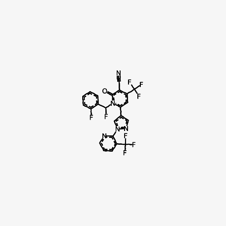 N#Cc1c(C(F)(F)F)cc(-c2cnn(-c3ncccc3C(F)(F)F)c2)n(C(F)c2ccccc2F)c1=O